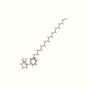 CCCCCCCCCCCCCCCCCC[n+]1cccc([C@@H]2CCC[N+]2(C)C)c1